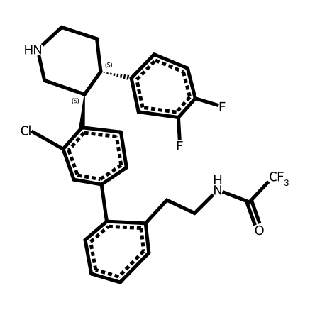 O=C(NCCc1ccccc1-c1ccc([C@H]2CNCC[C@@H]2c2ccc(F)c(F)c2)c(Cl)c1)C(F)(F)F